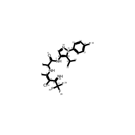 C/C(NC(C)C(=O)Nc1cnn(-c2ccc(F)cc2)c1C(C)C)=C(\Cl)C(=N)C(F)(F)F